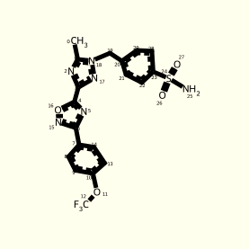 Cc1nc(-c2nc(-c3ccc(OC(F)(F)F)cc3)no2)nn1Cc1ccc(S(N)(=O)=O)cc1